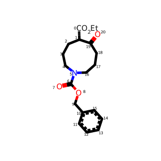 CCOC(=O)C1CCCN(C(=O)OCc2ccccc2)CCCC1=O